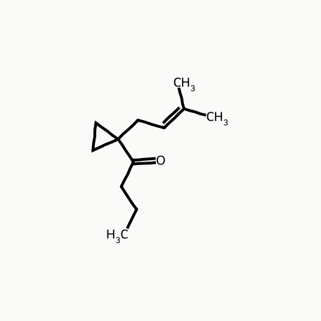 CCCC(=O)C1(CC=C(C)C)CC1